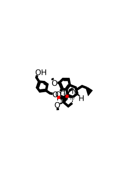 COc1ccc2c3c1O[C@H]1[C@@]4(OC)CC[C@@]5(C[C@@H]4COCc4ccc(CO)cc4)[C@@H](C2)N(CC2CC2)CC[C@]315